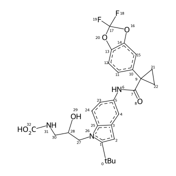 CC(C)(C)c1cc2cc(NC(=O)C3(c4ccc5c(c4)OC(F)(F)O5)CC3)ccc2n1CC(O)CNC(=O)O